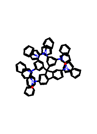 c1ccc(N(c2ccccc2)c2cc(N(c3ccccc3)c3ccccc3)cc(C3(c4cc(N(c5ccccc5)c5ccccc5)cc(N(c5ccccc5)c5ccccc5)c4)c4cc(N(c5ccccc5)c5ccccc5)ccc4-c4ccc(N(c5ccccc5)c5ccccc5)cc43)c2)cc1